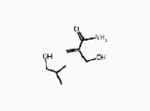 C=C(CO)C(N)=O.CC(C)CO